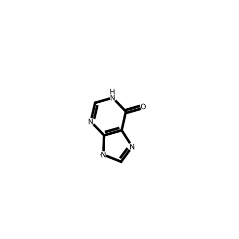 O=c1[nH]cnc2c1N=C[N]2